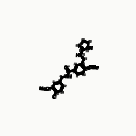 COc1cc(CNC(=O)c2ccc(OC)c(CNC3=NCCN3)c2)ccc1Cl